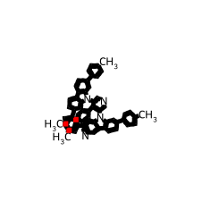 Cc1ccc(-c2ccc3c4ccc(-c5ccc(C)cc5)cc4n(-c4cncc(-n5c6cc(-c7ccc(C)cc7)ccc6c6ccc(-c7ccc(C)cc7)cc65)c4-c4cccc(C#N)c4)c3c2)cc1